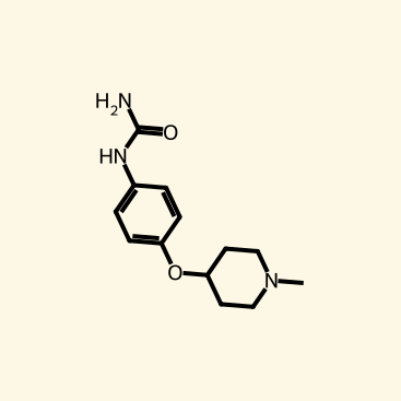 CN1CCC(Oc2ccc(NC(N)=O)cc2)CC1